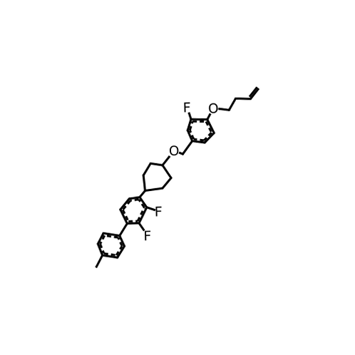 C=CCCOc1ccc(COC2CCC(c3ccc(-c4ccc(C)cc4)c(F)c3F)CC2)cc1F